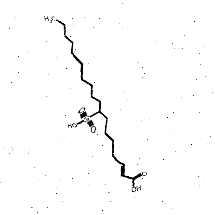 CCCCCCCCCCC(CCCCC=CC(=O)O)S(=O)(=O)O